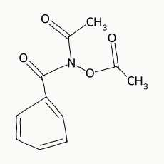 CC(=O)ON(C(C)=O)C(=O)c1ccccc1